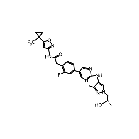 Cc1nn(C[C@H](C)O)cc1Nc1ncc(-c2ccc(CC(=O)Nc3cc(C4(C(F)(F)F)CC4)on3)c(F)c2)cn1